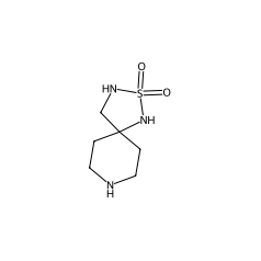 O=S1(=O)NCC2(CCNCC2)N1